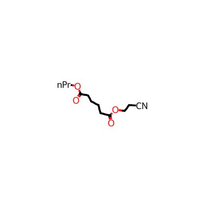 CCCOC(=O)CCCCC(=O)OCCC#N